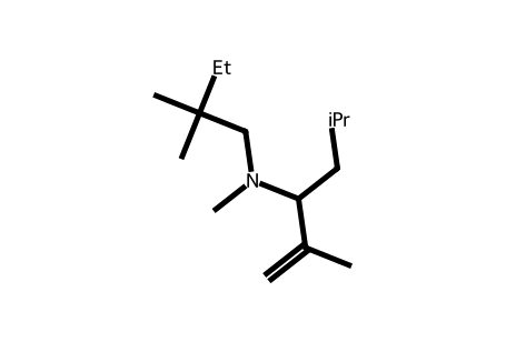 C=C(C)C(CC(C)C)N(C)CC(C)(C)CC